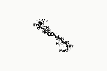 COC(=O)N[C@@H](C(=O)CN[C@@H](C)c1ncc(C2COC(c3ccc4cc(-c5cnc([C@@H](C)CNC(=O)[C@H](NC(=O)OC)C(C)C)[nH]5)ccc4c3)CO2)[nH]1)C(C)C